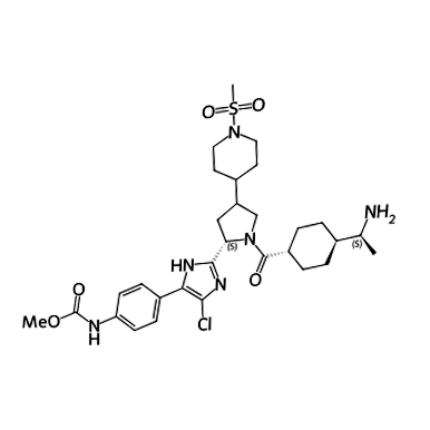 COC(=O)Nc1ccc(-c2[nH]c([C@@H]3CC(C4CCN(S(C)(=O)=O)CC4)CN3C(=O)[C@H]3CC[C@H]([C@H](C)N)CC3)nc2Cl)cc1